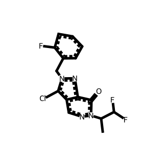 CC(C(F)F)n1ncc2c(Cl)n(Cc3ccccc3F)nc2c1=O